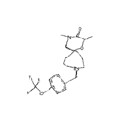 CC1OC2(CCN(Cc3ccc(OC(F)(F)F)cc3)CC2)CN(C)C1=O